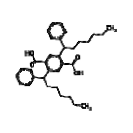 CCCCCCC(c1ccccc1)c1cc(C(=O)O)c(C(CCCCCC)c2ccccc2)cc1C(=O)O